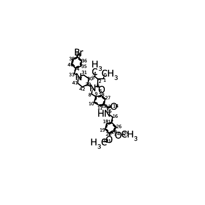 CCC(CC)C(=O)N(Cc1ccc(C(=O)NCc2ccc(OC)c(OC)c2)cc1)C1CCN(Cc2ccc(Br)cc2)CC1